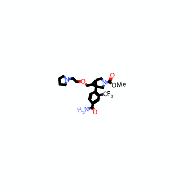 COC(=O)N1CC2C(COCCN3CCCC3)C2(c2ccc(C(N)=O)cc2C(F)(F)F)C1